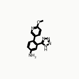 COc1ccc(-c2ccc(N)cc2-c2nnn[nH]2)cn1